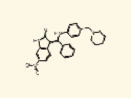 O=C1Nc2cc([N+](=O)[O-])ccc2/C1=C(/Nc1ccc(CN2CCCCC2)cc1)c1ccccc1